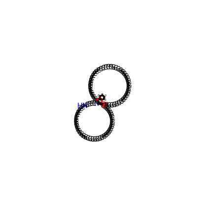 O=C1N(Cc2ccccc2)CCCCNCCCCCCCCCCCCCCCCCCCCCCCCCCCCCCCCCCCCCCCC12CCCCCCCCCCCCCCCCCCCCCCCCCCCCCCCCCCCCCCCCCCCCCC21OCCO1